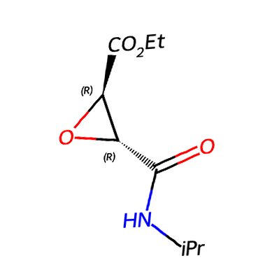 CCOC(=O)[C@@H]1O[C@H]1C(=O)NC(C)C